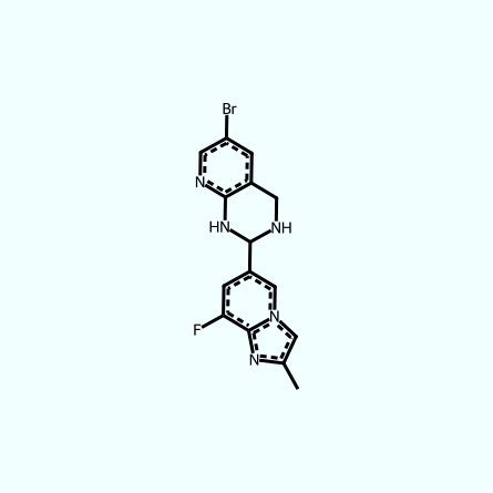 Cc1cn2cc(C3NCc4cc(Br)cnc4N3)cc(F)c2n1